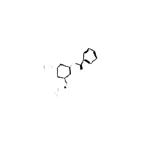 [N-]=[N+]=NC1C[C@H](O)C[C@@H](OC(=O)c2ccccc2)C1